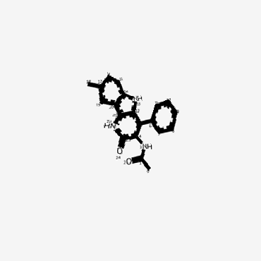 CC(=O)Nc1c(-c2ccccc2)c2[nH]c3ccc(C)cc3c2[nH]c1=O